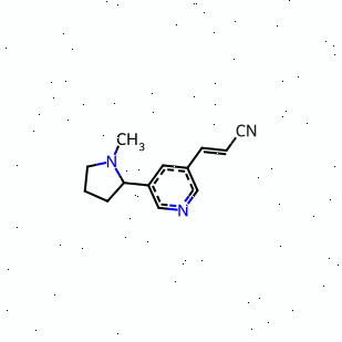 CN1CCCC1c1cncc(C=CC#N)c1